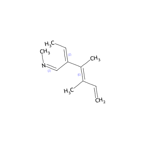 C=C/C(C)=C(C)/C(/C=N\C)=C/C